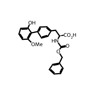 COc1cccc(O)c1-c1ccc(C[C@H](NC(=O)OCc2ccccc2)C(=O)O)cc1